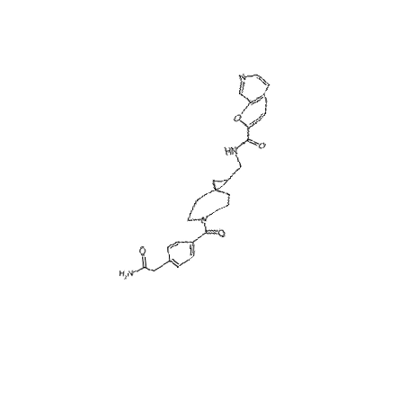 NC(=O)Cc1ccc(C(=O)N2CCC3(CC2)CC3CNC(=O)c2cc3ccncc3o2)cc1